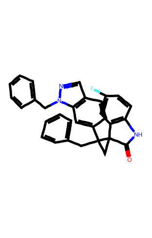 O=C1Nc2ccc(F)cc2C12CC2(Cc1ccccc1)c1ccc2cnn(Cc3ccccc3)c2c1